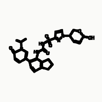 CC(C)n1cc(-c2ccc3c(c2NC(=O)NS(=O)(=O)c2ccn(C4C=CB(O)OC4)n2)CCC3)ccc1=O